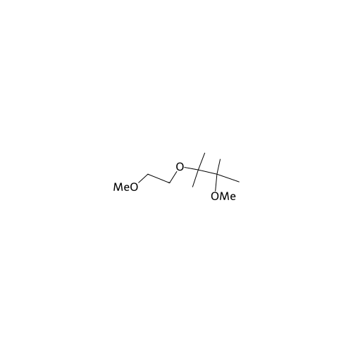 COCCOC(C)(C)C(C)(C)OC